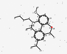 CCCCPc1c(OC)ccc(C)c1-c1c(C(C)C)cc(C(C)C)cc1C(C)C